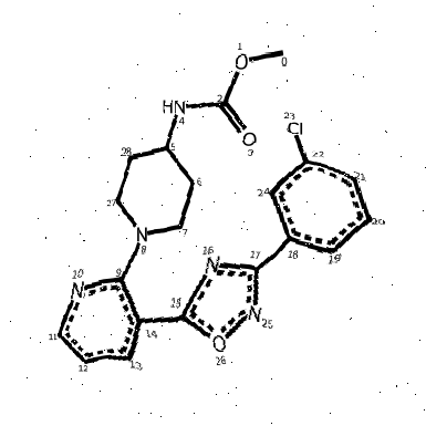 COC(=O)NC1CCN(c2ncccc2-c2nc(-c3cccc(Cl)c3)no2)CC1